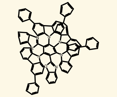 c1ccc(-c2ccc3c(c2)c2ccccc2n3-c2c(-c3nc4ccccc4o3)c(-n3c4ccccc4c4cc(-c5ccccc5)ccc43)c(-n3c4ccccc4c4cc(-c5ccccc5)ccc43)c(-n3c4ccccc4c4cc(-c5ccccc5)ccc43)c2-c2nc3ccccc3s2)cc1